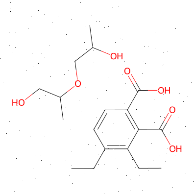 CC(O)COC(C)CO.CCc1ccc(C(=O)O)c(C(=O)O)c1CC